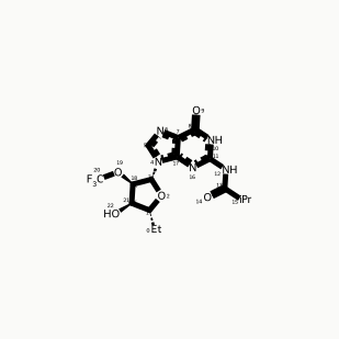 CC[C@H]1O[C@@H](n2cnc3c(=O)[nH]c(NC(=O)C(C)C)nc32)[C@H](OC(F)(F)F)[C@@H]1O